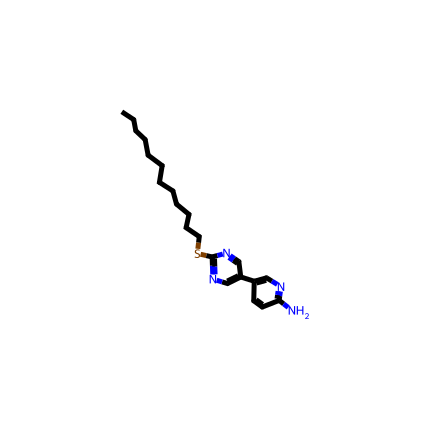 CCCCCCCCCCCCSc1ncc(-c2ccc(N)nc2)cn1